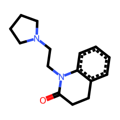 O=C1CCc2ccccc2N1CCN1CCCC1